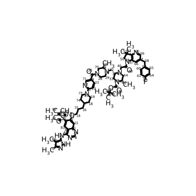 Cc1n[nH]c(Nc2ncnc3cc(OCCCC4CCN(c5ccc(C(=O)N6CCN(C[C@H]7CN(C(=O)OC(C)(C)C)[C@@H](C)CN7CC(=O)N7CC(C)(C)c8ncc(Cc9ccc(F)cc9)cc87)[C@H](C)C6)cn5)CC4)c(S(=O)(=O)C(C)(C)C)cc23)c1C